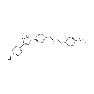 Nc1ccc(CCNCc2ccc(-c3cc(-c4ccc(Cl)cc4)[nH]n3)cc2)cc1